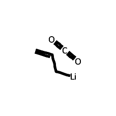 O=C=O.[Li][CH2]C=C